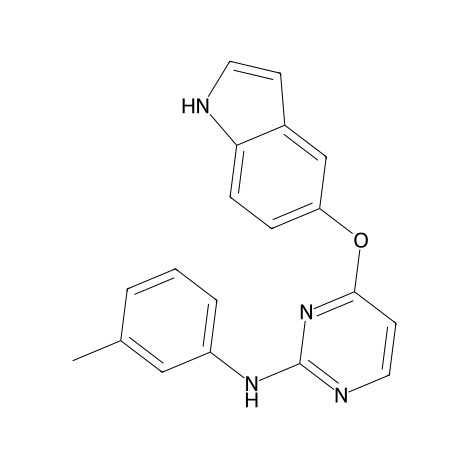 Cc1cccc(Nc2nccc(Oc3ccc4[nH]ccc4c3)n2)c1